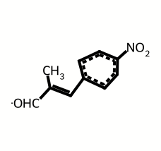 CC([C]=O)=Cc1ccc([N+](=O)[O-])cc1